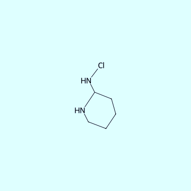 ClNC1CCCCN1